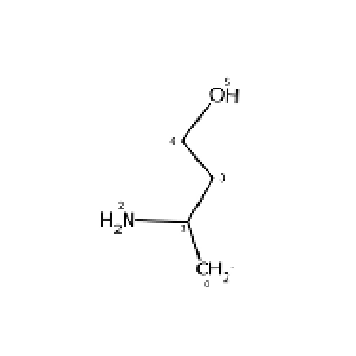 [CH2]C(N)CCO